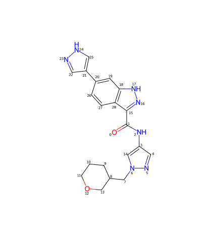 O=C(Nc1cnn(CC2CCCOC2)c1)c1n[nH]c2cc(-c3cn[nH]c3)ccc12